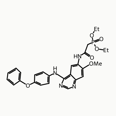 CCOP(=O)(CC(=O)Nc1cc2c(Nc3ccc(Oc4ccccc4)cc3)ncnc2cc1OC)OCC